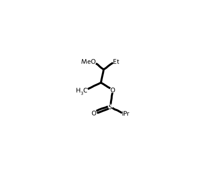 CCC(OC)C(C)OS(=O)C(C)C